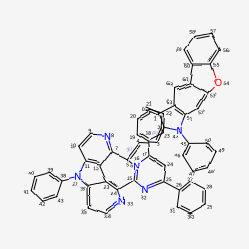 C=c1/c(=C\C=C(/C)c2nccc3c2c2c(-c4nc(-c5ccccc5)cc(-c5ccccc5)n4)nccc2n3-c2ccccc2)n(-c2ccccc2)c2cc3oc4ccccc4c3cc12